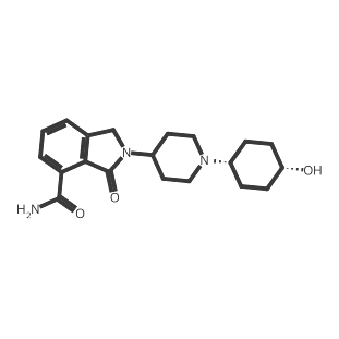 NC(=O)c1cccc2c1C(=O)N(C1CCN([C@H]3CC[C@@H](O)CC3)CC1)C2